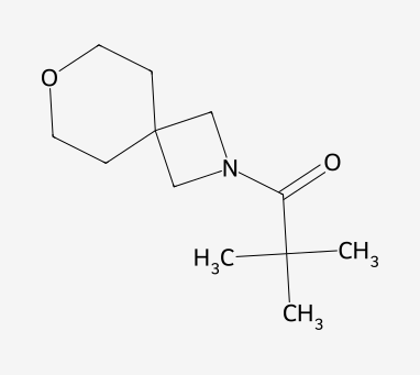 CC(C)(C)C(=O)N1CC2(CCOCC2)C1